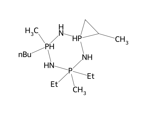 CCCC[PH]1(C)N[PH]2(CC2C)NP(C)(CC)(CC)N1